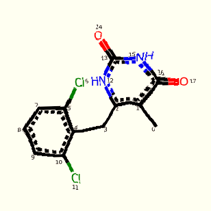 Cc1c(Cc2c(Cl)cccc2Cl)[nH]c(=O)[nH]c1=O